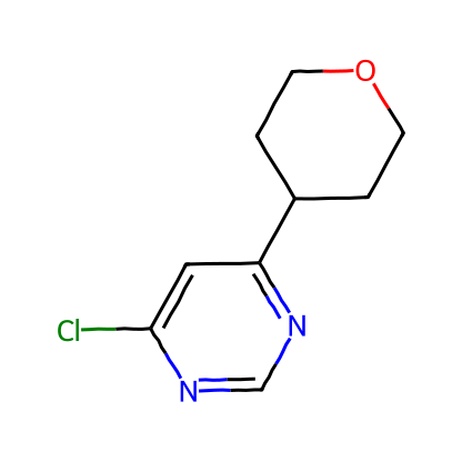 Clc1cc(C2CCOCC2)ncn1